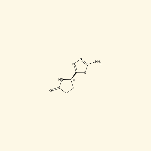 Nc1nnc([C@H]2CCC(=O)N2)s1